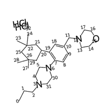 CCCN1CCN(c2ccc(CN3CCOCC3)cc2C2CC(C)(C)CC(C)(C)C2)CC1.Cl.Cl